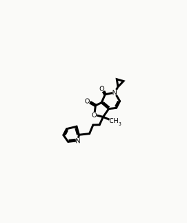 CC1(CCCc2ccccn2)OC(=O)c2c1ccn(C1CC1)c2=O